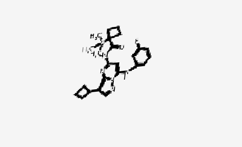 CS(C)(C)C1(C(=O)Nc2cc(Nc3cccc(F)c3)n3ncc(C4CCC4)c3n2)CCC1